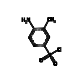 Cc1cc(S(=O)(=O)Cl)ccc1N